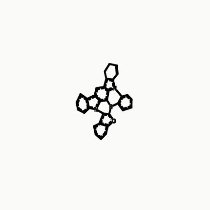 C1=Cc2c(c3cc4c5ccccc5n5c4c4c3n2-c2ccccc2B4c2oc3ccccc3c2-5)CC1